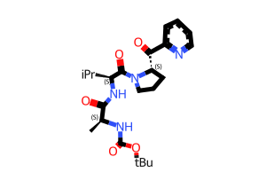 CC(C)[C@H](NC(=O)[C@H](C)NC(=O)OC(C)(C)C)C(=O)N1CCC[C@H]1C(=O)c1ccccn1